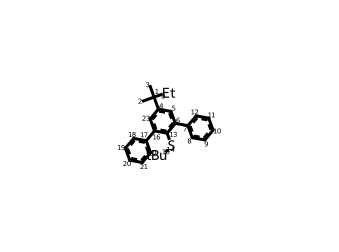 CCC(C)(C)c1cc(-c2ccccc2)c(SC(C)(C)C)c(-c2ccccc2)c1